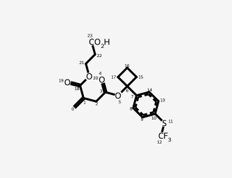 C=C(CC(=O)OC1(c2ccc(SC(F)(F)F)cc2)CCC1)C(=O)OCCC(=O)O